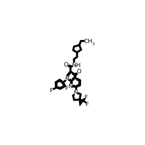 CCC1CCC(CCNC(=O)c2cn(-c3ccc(F)cc3F)c3nc(N4CCC5(C4)CC5(F)F)ccc3c2=O)C1